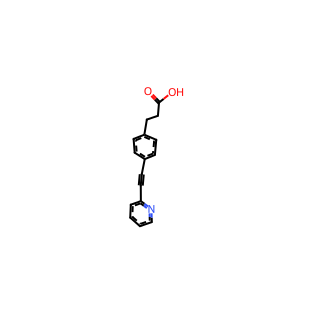 O=C(O)CCc1ccc(C#Cc2ccccn2)cc1